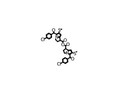 CSc1cc2n(c1C(=O)c1ccc(Cl)cc1)CCC2C(=O)OC(=O)C1CCn2c1cc(SC)c2C(=O)c1ccc(Cl)cc1